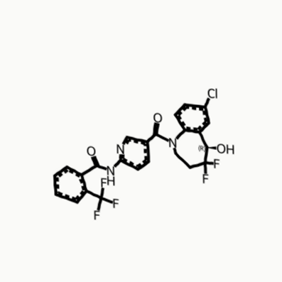 O=C(Nc1ccc(C(=O)N2CCC(F)(F)[C@H](O)c3cc(Cl)ccc32)cn1)c1ccccc1C(F)(F)F